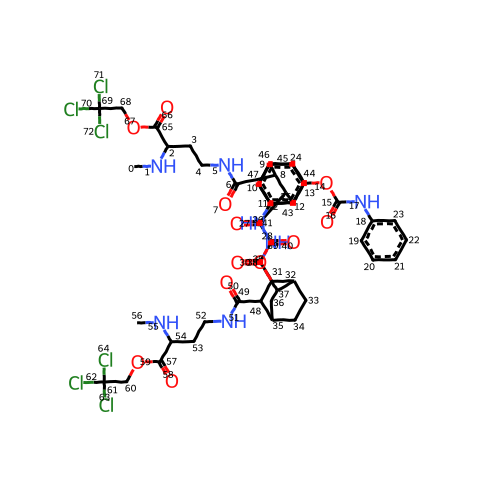 CNC(CCNC(=O)C1C2CCC(C(OC(=O)Nc3ccccc3)C2)C1C(=O)NC(=O)C1C2CCC(CC2OC(=O)Nc2ccccc2)C1C(=O)NCCC(NC)C(=O)OCC(Cl)(Cl)Cl)C(=O)OCC(Cl)(Cl)Cl